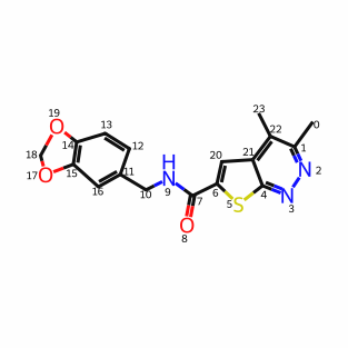 Cc1nnc2sc(C(=O)NCc3ccc4c(c3)OCO4)cc2c1C